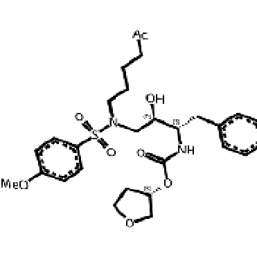 COc1ccc(S(=O)(=O)N(CCCCC(C)=O)C[C@@H](O)[C@H](Cc2ccccc2)NC(=O)O[C@H]2CCOC2)cc1